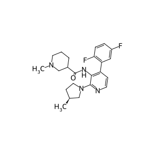 C[C@H]1CCN(c2nccc(-c3cc(F)ccc3F)c2NC(=O)C2CCCN(C)C2)C1